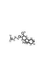 COc1cc2c(cc1OCCCN(C)C)[nH]c1ccncc12